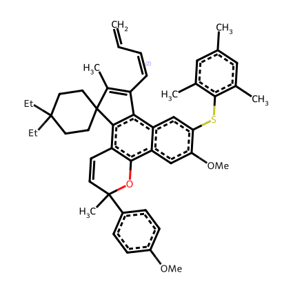 C=C/C=C\C1=C(C)C2(CCC(CC)(CC)CC2)c2c3c(c4cc(OC)c(Sc5c(C)cc(C)cc5C)cc4c21)OC(C)(c1ccc(OC)cc1)C=C3